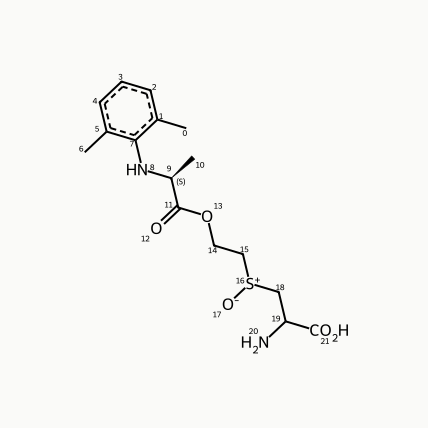 Cc1cccc(C)c1N[C@@H](C)C(=O)OCC[S+]([O-])CC(N)C(=O)O